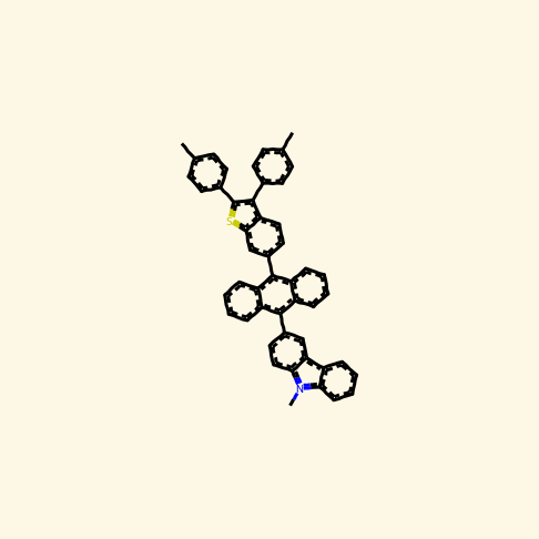 Cc1ccc(-c2sc3cc(-c4c5ccccc5c(-c5ccc6c(c5)c5ccccc5n6C)c5ccccc45)ccc3c2-c2ccc(C)cc2)cc1